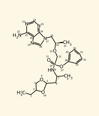 CCC1COC(CC(C)NP(=O)(CO[C@H](C)Cn2cnc3c(N)ncnc32)Oc2ccccc2)O1